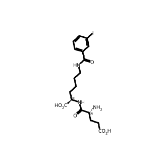 N[C@H](CCC(=O)O)C(=O)N[C@H](CCCCNC(=O)c1cccc(I)c1)C(=O)O